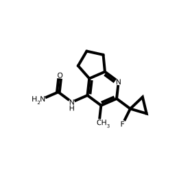 Cc1c(C2(F)CC2)nc2c(c1NC(N)=O)CCC2